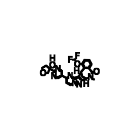 CN1C(=O)c2cccc(OC(F)F)c2[C@H]2C[C@@H]1c1nn3ccc(-c4cnc(C5(O)CCOC5)nc4)nc3c12